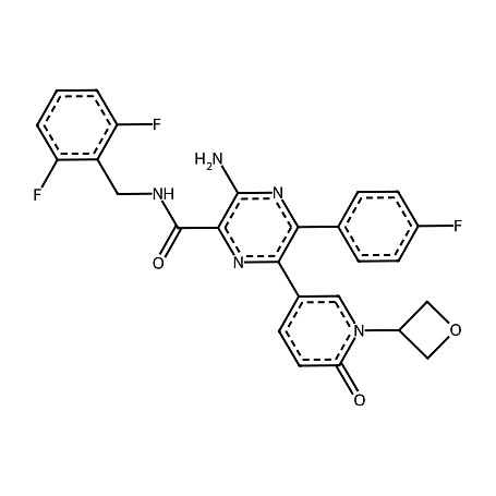 Nc1nc(-c2ccc(F)cc2)c(-c2ccc(=O)n(C3COC3)c2)nc1C(=O)NCc1c(F)cccc1F